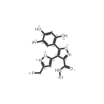 CCNC(=O)c1noc(-c2cc(C(C)C)c(O)cc2O)c1-c1cc(CF)no1